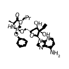 C#C[C@@]1(O)[C@H](O)[C@@H](COP(=S)(N[C@@H](C)C(=O)OC(C)C)Oc2ccccc2)O[C@H]1n1cnc2c(N)ccnc21